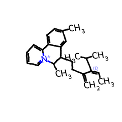 C=C(CCC1c2cc(C)ccc2-c2cccc[n+]2C1C)/C(=C\C)C(C)C